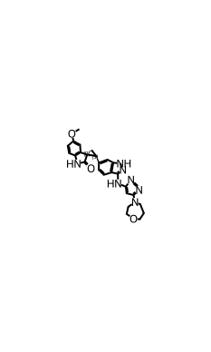 COc1ccc2c(c1)[C@]1(C[C@H]1c1ccc3c(Nc4cc(N5CCCOCC5)ncn4)n[nH]c3c1)C(=O)N2